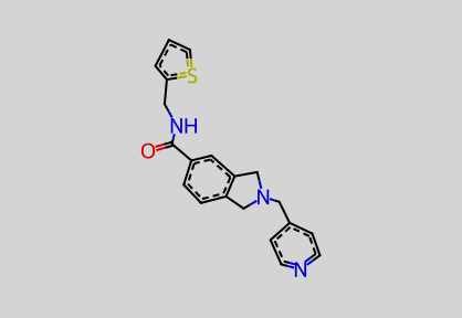 O=C(NCc1cccs1)c1ccc2c(c1)CN(Cc1ccncc1)C2